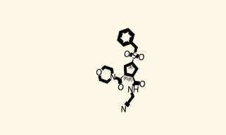 N#CCNC(=O)[C@@H]1C[C@@H](S(=O)(=O)Cc2ccccc2)C[C@H]1C(=O)N1CCOCC1